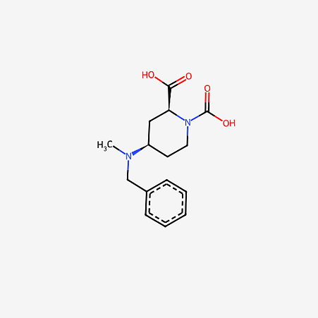 CN(Cc1ccccc1)[C@@H]1CCN(C(=O)O)[C@H](C(=O)O)C1